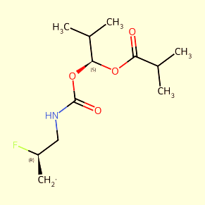 [CH2][C@@H](F)CNC(=O)O[C@H](OC(=O)C(C)C)C(C)C